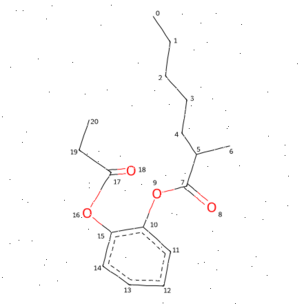 CCCCCC(C)C(=O)Oc1ccccc1OC(=O)CC